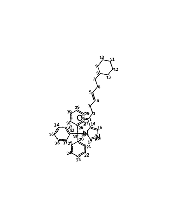 O=C(CC/C=C/CCC1CCCCC1)c1cncn1C(c1ccccc1)(c1ccccc1)c1ccccc1